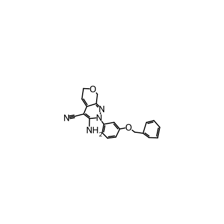 N#CC1=C(N)N(c2cccc(OCc3ccccc3)c2)N=C2COCC=C21